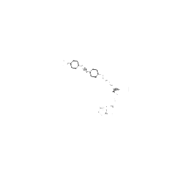 CN(C)c1ccc(/N=N/c2ccc(C(=O)NCCOP(=O)(O)SCCC(=O)ON3C(=O)CCC3=O)cc2)cc1